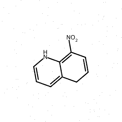 O=[N+]([O-])C1=C2NC=CC=C2CC=C1